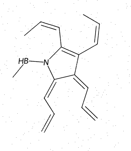 C=C/C=c1/c(/C=C\C)c(/C=C\C)n(BC)/c1=C/C=C